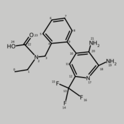 CCN(Cc1ccccc1-c1cc(C(F)(F)F)nc(N)c1N)C(=O)O